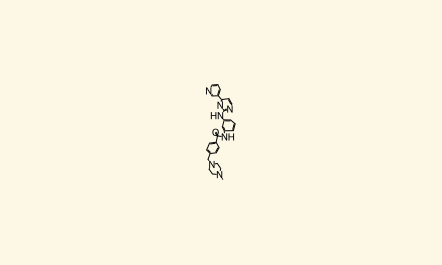 CN1CCN(Cc2ccc(C(=O)Nc3cccc(Nc4nccc(-c5cccnc5)n4)c3)cc2)CC1